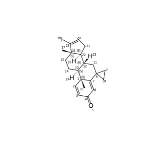 C[C@]12C=CC(=O)C=C1C1(CC1)C[C@@H]1[C@@H]2CC[C@]2(C)C(I)=CC[C@@H]12